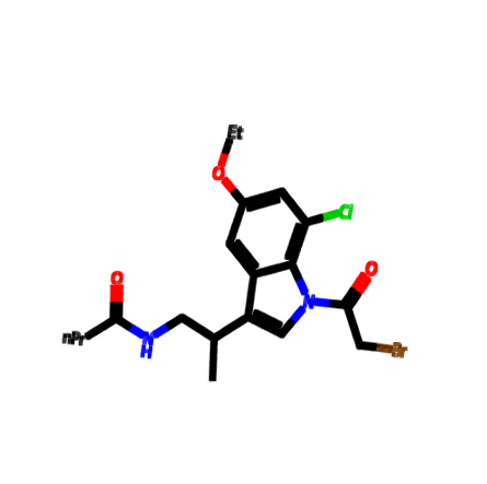 CCCC(=O)NCC(C)c1cn(C(=O)CBr)c2c(Cl)cc(OCC)cc12